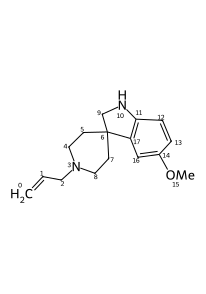 C=CCN1CCC2(CC1)CNc1ccc(OC)cc12